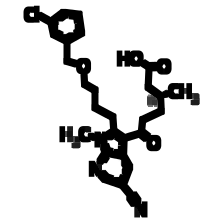 C[C@@H](CCC(=O)c1c(CCCCOCc2cccc(Cl)c2)n(C)c2ncc(C#N)cc12)CC(=O)O